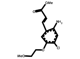 COCCOc1cc(C=CC(=O)OC)c(N)cc1Cl